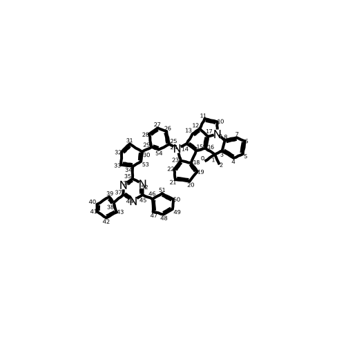 CC1(C)c2ccccc2-n2ccc3cc4c(c1c32)c1ccccc1n4-c1cccc(-c2cccc(-c3nc(-c4ccccc4)nc(-c4ccccc4)n3)c2)c1